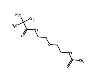 CC(=O)NCCOCCNC(=O)C(C)(C)C